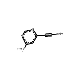 CCCC#Cc1cc(C(=O)OCC)ncn1